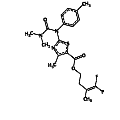 CC(CCOC(=O)c1sc(N(C(=O)N(C)C)c2ccc(C)cc2)nc1C)=C(F)F